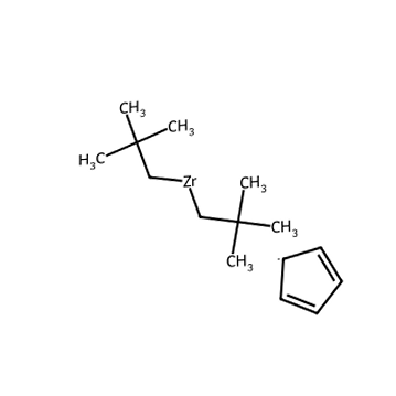 CC(C)(C)[CH2][Zr][CH2]C(C)(C)C.[CH]1C=CC=C1